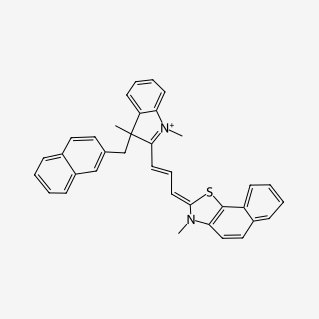 CN1/C(=C/C=C/C2=[N+](C)c3ccccc3C2(C)Cc2ccc3ccccc3c2)Sc2c1ccc1ccccc21